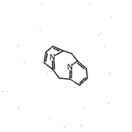 c1cc2nc(c1)Cc1cccc(n1)C2